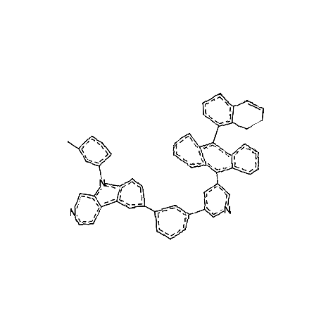 Cc1cccc(-n2c3ccc(-c4cccc(-c5cncc(-c6c7ccccc7c(-c7cccc8c7CCC=C8)c7ccccc67)c5)c4)cc3c3ccncc32)c1